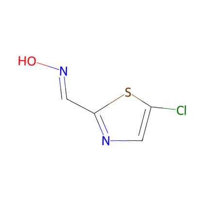 O/N=C/c1ncc(Cl)s1